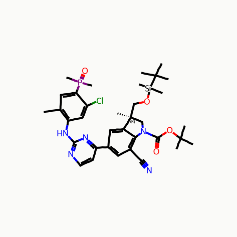 Cc1cc(P(C)(C)=O)c(Cl)cc1Nc1nccc(-c2cc(C#N)c3c(c2)[C@@](C)(CO[Si](C)(C)C(C)(C)C)CN3C(=O)OC(C)(C)C)n1